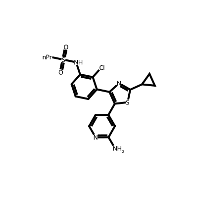 CCCS(=O)(=O)Nc1cccc(-c2nc(C3CC3)sc2-c2ccnc(N)c2)c1Cl